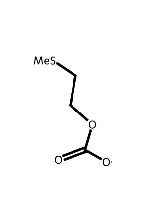 CSCCOC([O])=O